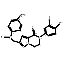 CCN(Cc1cc2n(n1)CCN(c1ccc(F)c(F)c1)C2=O)c1ccc(OC)cc1